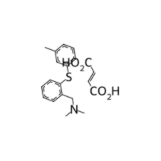 Cc1cccc(Sc2ccccc2CN(C)C)c1.O=C(O)C=CC(=O)O